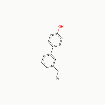 CC(C)Cc1cccc(-c2ccc(O)cc2)c1